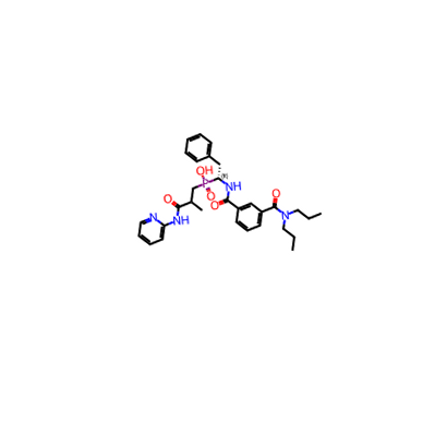 CCCN(CCC)C(=O)c1cccc(C(=O)N[C@@H](Cc2ccccc2)P(=O)(O)CC(C)C(=O)Nc2ccccn2)c1